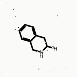 [3H]C1Cc2ccccc2CN1